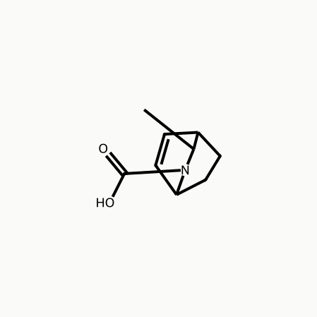 CC1C2C=CC(CC2)N1C(=O)O